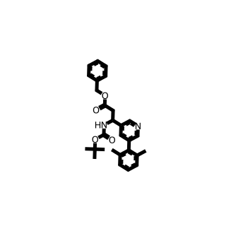 Cc1cccc(C)c1-c1cncc(C(CC(=O)OCc2ccccc2)NC(=O)OC(C)(C)C)c1